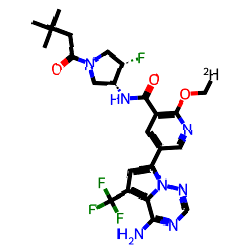 [2H]COc1ncc(-c2cc(C(F)(F)F)c3c(N)ncnn23)cc1C(=O)N[C@@H]1CN(C(=O)CC(C)(C)C)C[C@@H]1F